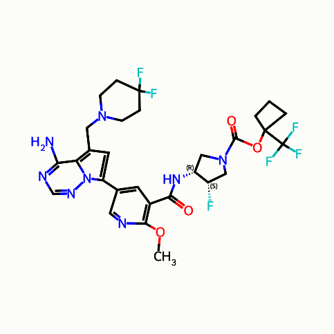 COc1ncc(-c2cc(CN3CCC(F)(F)CC3)c3c(N)ncnn23)cc1C(=O)N[C@@H]1CN(C(=O)OC2(C(F)(F)F)CCC2)C[C@@H]1F